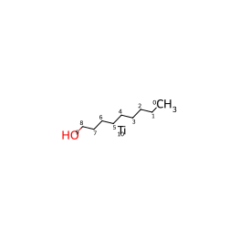 CCCCCCCCCO.[Ti]